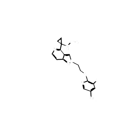 O=CNC1(c2nccc3nn(CCOc4ncc(C(F)(F)F)cc4F)cc23)CC1